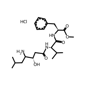 COC(=O)[C@H](Cc1ccccc1)NC(=O)[C@@H](NC(=O)C[C@H](O)C(N)CC(C)C)C(C)C.Cl